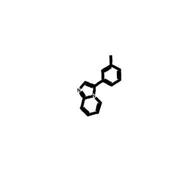 Cc1cccc(-c2cnc3ccccn23)c1